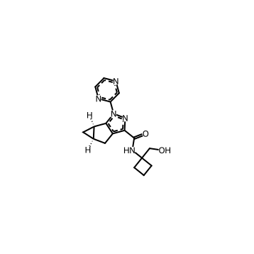 O=C(NC1(CO)CCC1)c1nn(-c2cnccn2)c2c1C[C@H]1C[C@@H]21